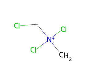 C[N+](Cl)(Cl)CCl